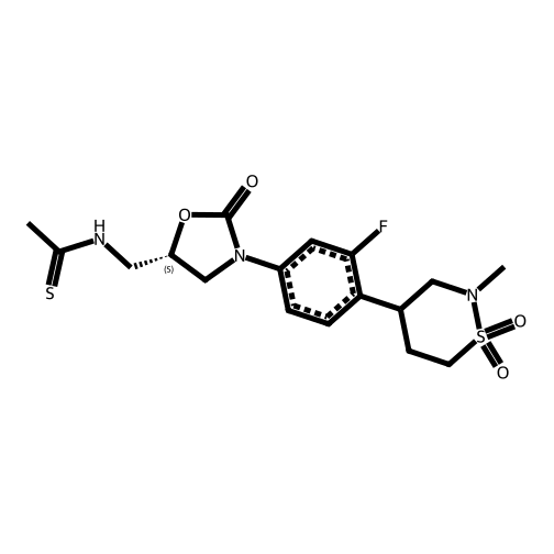 CC(=S)NC[C@H]1CN(c2ccc(C3CCS(=O)(=O)N(C)C3)c(F)c2)C(=O)O1